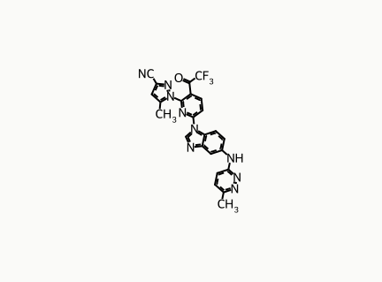 Cc1ccc(Nc2ccc3c(c2)ncn3-c2ccc(C(=O)C(F)(F)F)c(-n3nc(C#N)cc3C)n2)nn1